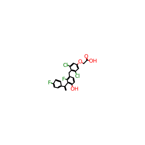 C=C(c1ccc(F)cc1)c1c(O)ccc(Cc2c(Cl)cc(OCC(=O)O)cc2Cl)c1F